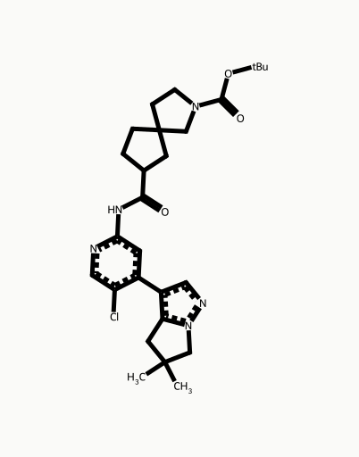 CC1(C)Cc2c(-c3cc(NC(=O)C4CCC5(CCN(C(=O)OC(C)(C)C)C5)C4)ncc3Cl)cnn2C1